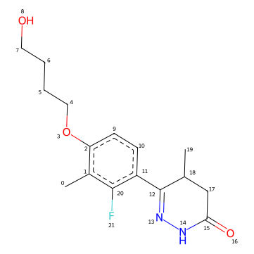 Cc1c(OCCCCO)ccc(C2=NNC(=O)CC2C)c1F